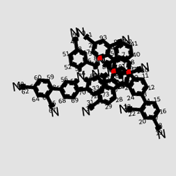 N#Cc1ccc(-c2ccc3c4ccc(-c5ccc(C#N)cc5C#N)cc4n(-c4ccc(C#N)cc4-c4nc(-c5ccccc5)nc(-c5cc(C#N)ccc5-n5c6cc(-c7ccc(C#N)cc7C#N)ccc6c6ccc(-c7ccc(C#N)cc7C#N)cc65)n4)c3c2)c(C#N)c1